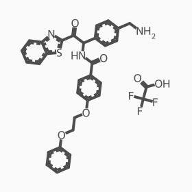 NCc1ccc(C(NC(=O)c2ccc(OCCOc3ccccc3)cc2)C(=O)c2nc3ccccc3s2)cc1.O=C(O)C(F)(F)F